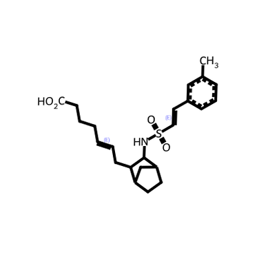 Cc1cccc(/C=C/S(=O)(=O)NC2C3CCC(C3)C2C/C=C/CCCC(=O)O)c1